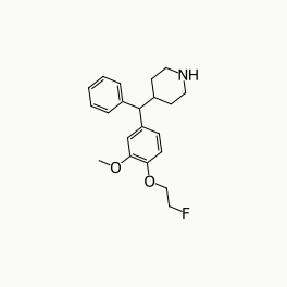 COc1cc(C(c2ccccc2)C2CCNCC2)ccc1OCCF